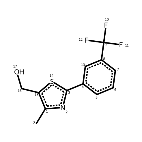 Cc1nc(-c2cccc(C(F)(F)F)c2)sc1CO